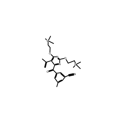 C=C(C)c1c(OCC[Si](C)(C)C)nc(OCC[Si](C)(C)C)nc1C(=O)c1cc(C)cc(C#N)c1